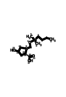 CCCC[Si](C)(C)OCN1CC(O)C[C@H]1C(=O)O